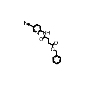 N#Cc1ccc(NC(=O)CCC(=O)OCc2ccccc2)nc1